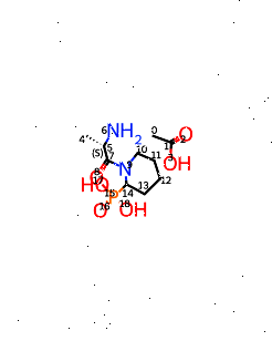 CC(=O)O.C[C@H](N)C(=O)N1CCCCC1P(=O)(O)O